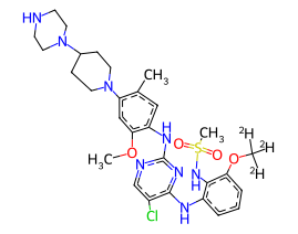 [2H]C([2H])([2H])Oc1cccc(Nc2nc(Nc3cc(C)c(N4CCC(N5CCNCC5)CC4)cc3OC)ncc2Cl)c1NS(C)(=O)=O